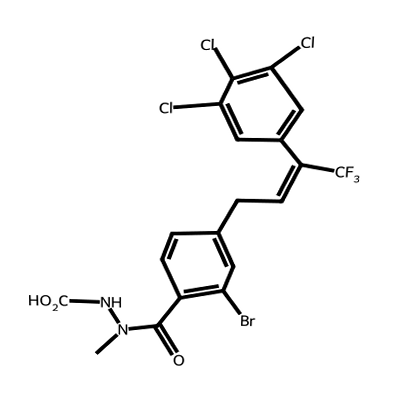 CN(NC(=O)O)C(=O)c1ccc(CC=C(c2cc(Cl)c(Cl)c(Cl)c2)C(F)(F)F)cc1Br